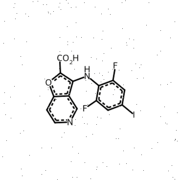 O=C(O)c1oc2ccncc2c1Nc1c(F)cc(I)cc1F